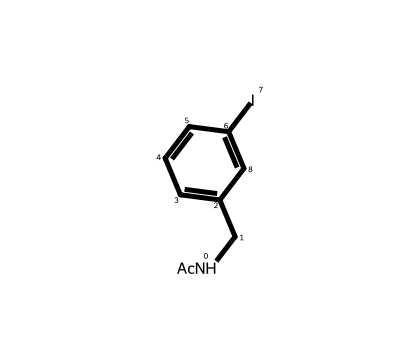 CC(=O)NCc1cccc(I)c1